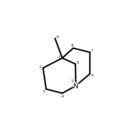 CC12CCCN(CCC1)C2